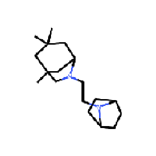 CC1(C)CC2CC(C)(CN2CCN2C3CCC2CC3)C1